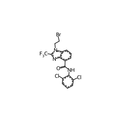 O=C(Nc1c(Cl)cccc1Cl)c1cccc2c1nc(C(F)(F)F)n2CCBr